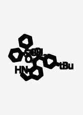 CC(C)(C)c1ccc(C(=O)[C@@H](O[Si](C)(c2ccccc2)c2ccccc2)c2cccc3cc[nH]c23)cc1